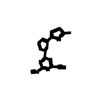 Cc1ccn(-c2cccc(-c3nc(C(C)(C)C)nc(C(C)(C)C)n3)c2)n1